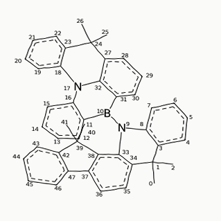 CC1(C)c2ccccc2N(B2c3ccccc3N3c4ccccc4C(C)(C)c4cccc2c43)c2c1ccc1c2C(C)(C)c2ccccc2-1